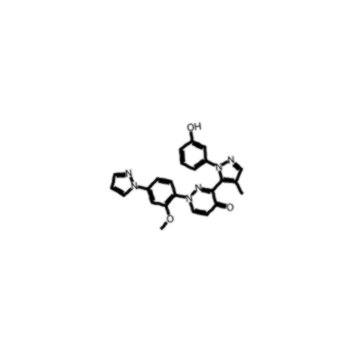 COc1cc(-n2cccn2)ccc1-n1ccc(=O)c(-c2c(C)cnn2-c2cccc(O)c2)n1